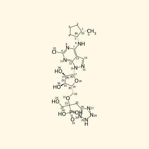 C[C@H]1CCC[C@H]1Nc1nc(Cl)nc2c1cnn2[C@@H]1O[C@H](COC(CO)(Cc2nn[nH]n2)P(=O)(O)O)[C@@H](O)[C@H]1O